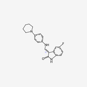 O=C1Nc2ccc(F)cc2/C1=C\Nc1ccc(N2CCCCC2)cc1